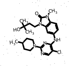 CC1CCN(c2ncc(Cl)c(Nc3ccc4c(c3)n(CCC(C)(C)O)c(=O)n4C)n2)CC1